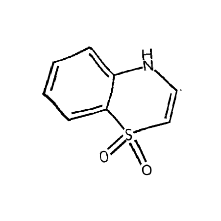 O=S1(=O)C=[C]Nc2ccccc21